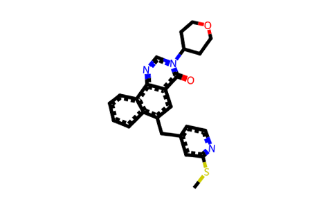 CSc1cc(Cc2cc3c(=O)n(C4CCOCC4)cnc3c3ccccc23)ccn1